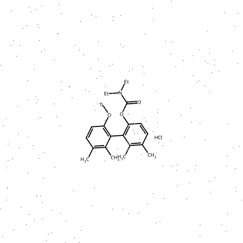 CCN(CC)C(=O)Oc1ccc(C)c(C)c1-c1c([O][Ti])ccc(C)c1C.Cl